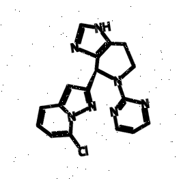 Clc1cccc2cc([C@H]3c4nc[nH]c4CCN3c3ncccn3)nn12